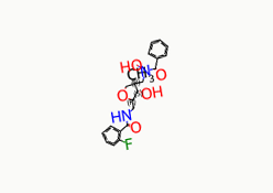 C[C@@]1(CN(O)C(=O)c2ccccc2)CO[C@H](CNC(=O)c2ccccc2F)[C@H]1O